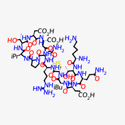 CC[C@H](C)[C@H](NC(=O)[C@H](CCC(=O)O)NC(=O)[C@H](CCC(N)=O)NC(=O)[C@@H](NC(=O)[C@@H](N)CCCCN)[C@@H](C)O)C(=O)N[C@@H](CS)C(=O)N[C@@H](CCCNC(=N)N)C(=O)N[C@@H](CC(N)=O)C(=O)N1CCC[C@H]1C(=O)N[C@H](C(=O)N[C@H](C(=O)N[C@@H](CC(=O)O)C(=O)N[C@@H](CC(N)=O)C(=O)O)[C@@H](C)O)C(C)C